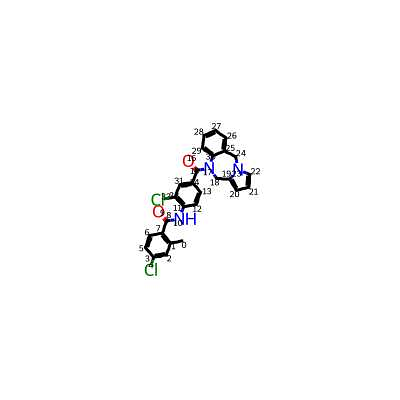 Cc1cc(Cl)ccc1C(=O)Nc1ccc(C(=O)N2Cc3cccn3Cc3ccccc32)cc1Cl